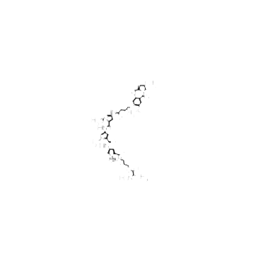 C=C1C[C@@H]2C=Nc3cc(OCCCC(=O)Nc4cc(C(=O)Nc5cc(C(=O)Nc6cc(C(=O)NCCCOC(=O)[C@H](C)N)n(C)c6)n(C)c5)n(C)c4)c(OC)cc3C(=O)N2C1